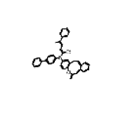 C=C1/C=c2/cccc/c2=C/Cc2cc(N(/C(=C/C=C(\C)c3ccccc3)CC)c3ccc(-c4ccccc4)cc3)ccc2O1